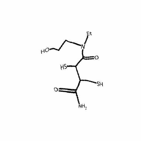 CCN(CCO)C(=O)C(S)C(S)C(N)=O